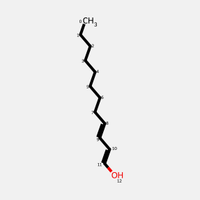 CCCCCCCC/C=C/C=C/O